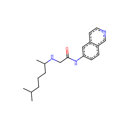 CC(C)CCCC(C)NCC(=O)Nc1ccc2cnccc2c1